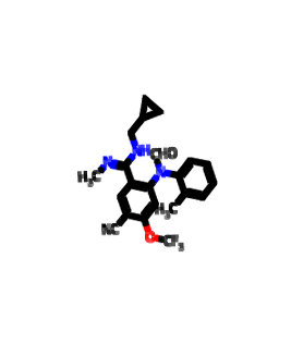 C/N=C(/NCC1CC1)c1cc(C#N)c(OC(F)(F)F)cc1N(C=O)c1ccccc1C